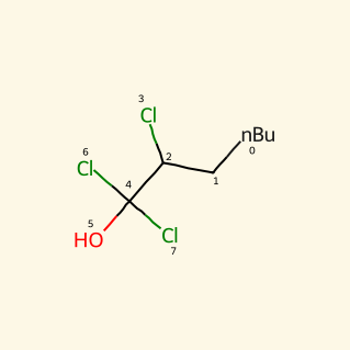 CCCCCC(Cl)C(O)(Cl)Cl